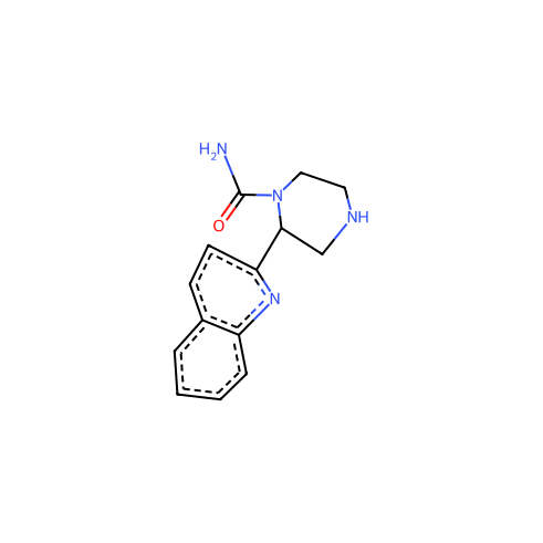 NC(=O)N1CCNCC1c1ccc2ccccc2n1